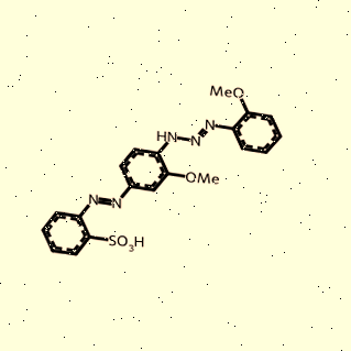 COc1ccccc1/N=N/Nc1ccc(/N=N/c2ccccc2S(=O)(=O)O)cc1OC